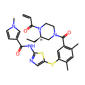 C=CC(=O)N1CCN(C(=O)c2cc(Sc3cnc(NC(=O)c4ccn(C)c4)s3)c(C)cc2C)C[C@H]1CC